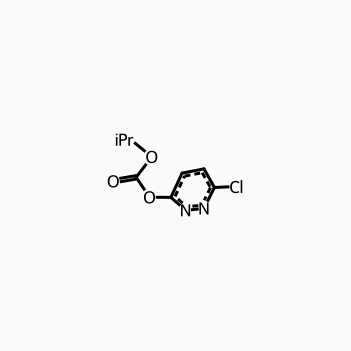 CC(C)OC(=O)Oc1ccc(Cl)nn1